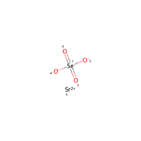 O=[Se](=O)([O-])[O-].[Sr+2]